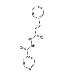 O=C(/C=C/c1ccccc1)NNC(=O)c1ccncc1